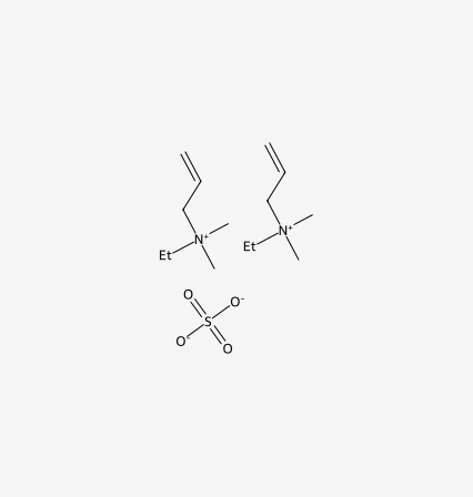 C=CC[N+](C)(C)CC.C=CC[N+](C)(C)CC.O=S(=O)([O-])[O-]